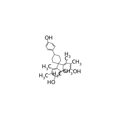 Cc1cc(O)c(C)c(C)c1C1(c2c(C)cc(O)c(C)c2C)CCC(c2ccc(O)cc2)CC1